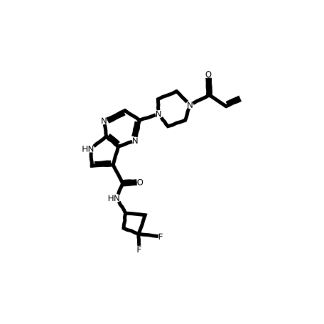 C=CC(=O)N1CCN(c2cnc3[nH]cc(C(=O)NC4CC(F)(F)C4)c3n2)CC1